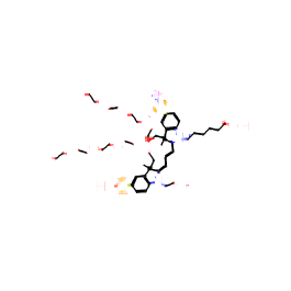 COCCOCCOCCOCCOCCC1(C)C(/C=C/C=C2/N(CCOC)c3ccc(S(=O)(=O)O)cc3C2(C)CCOCCOCCOCCOCCOC)=[N+](CCCCCC(=O)O)c2ccc(S(=O)(=O)N=O)cc21